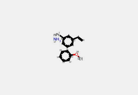 C=Cc1cccc(CCC)c1.CCOc1ccccc1.N